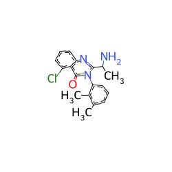 Cc1cccc(-n2c(C(C)N)nc3cccc(Cl)c3c2=O)c1C